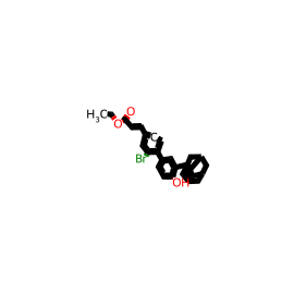 CCOC(=O)/C=C/c1ccc(-c2ccc(O)c(C34CC5CC(CC(C5)C3)C4)c2)c(Br)c1